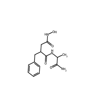 CC(NC(=O)C(CC(=O)NO)Cc1ccccc1)C(N)=O